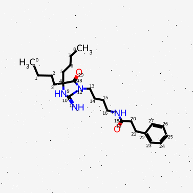 CCCCC1(CCCC)NC(=N)N(CCCCNC(=O)CCc2ccccc2)C1=O